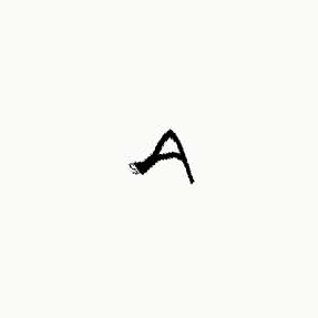 CC1CC1=S